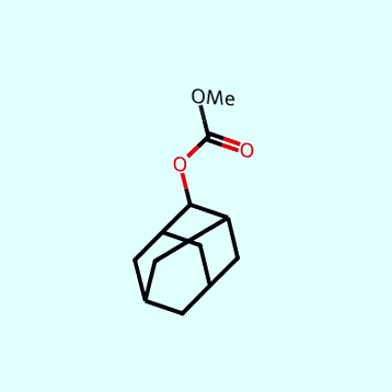 COC(=O)OC1C2CC3CC(C2)CC1C3